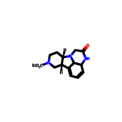 CCOC(=O)N1CC[C@H]2[C@@H](C1)C1=CC=CC3NC(=O)CN2C13